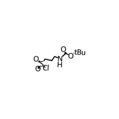 CC(C)(C)OC(=O)NCCCS(=O)(=O)Cl